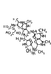 C[C@H](NC(=O)[C@H](C)NC(=O)[C@H](C)NC(=O)[C@H](C)NC(=O)[C@@H](N)CC(=O)O)C(=O)N[C@@H](C)C(=O)N[C@@H](C)C(=O)N[C@@H](C)C(=O)N[C@@H](CC(=O)O)C(=O)O